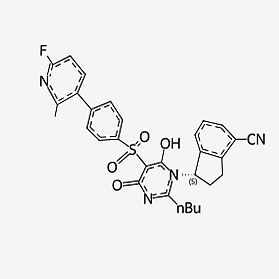 CCCCc1nc(=O)c(S(=O)(=O)c2ccc(-c3ccc(F)nc3C)cc2)c(O)n1[C@H]1CCc2c(C#N)cccc21